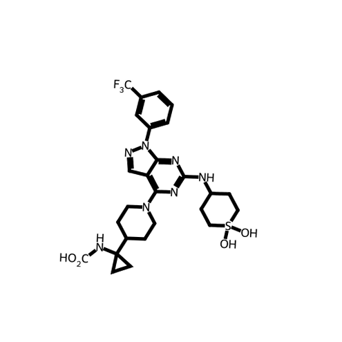 O=C(O)NC1(C2CCN(c3nc(NC4CCS(O)(O)CC4)nc4c3cnn4-c3cccc(C(F)(F)F)c3)CC2)CC1